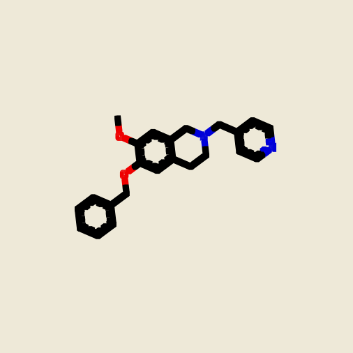 COc1cc2c(cc1OCc1ccccc1)CCN(Cc1ccncc1)C2